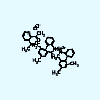 CC(=O)c1cccnc1C(C)=O.Cc1cc(C)c(-c2ccccc2[N]=[Fe+2]=[N]c2ccccc2-c2c(C)cc(C)cc2C)c(C)c1.[Cl-].[Cl-]